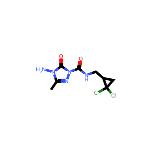 Cc1nn(C(=O)NCC2CC2(Cl)Cl)c(=O)n1N